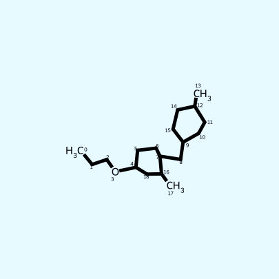 CCCOC1CCC(CC2CCC(C)CC2)C(C)C1